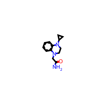 NC(=O)CN1CCN(C2CC2)c2ccccc21